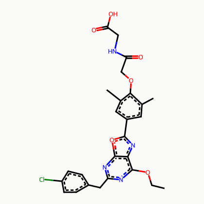 CCOc1nc(Cc2ccc(Cl)cc2)nc2oc(-c3cc(C)c(OCC(=O)NCC(=O)O)c(C)c3)nc12